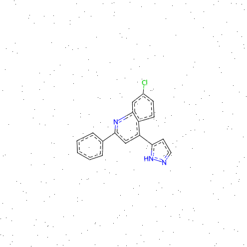 Clc1ccc2c(-c3ccn[nH]3)cc(-c3ccccc3)nc2c1